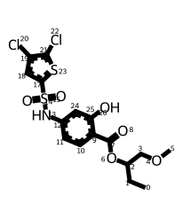 CCC(COC)OC(=O)c1ccc(NS(=O)(=O)c2cc(Cl)c(Cl)s2)cc1O